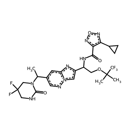 CC(c1cnn2cc(C(COC(C)(C)C(F)(F)F)NC(=O)c3nonc3C3CC3)nc2c1)N1CC(F)(F)CNC1=O